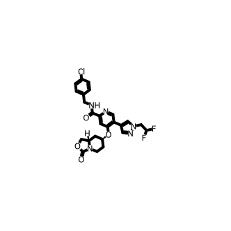 O=C(NCc1ccc(Cl)cc1)c1cc(O[C@H]2CCN3C(=O)OC[C@@H]3C2)c(-c2cnn(CC(F)F)c2)cn1